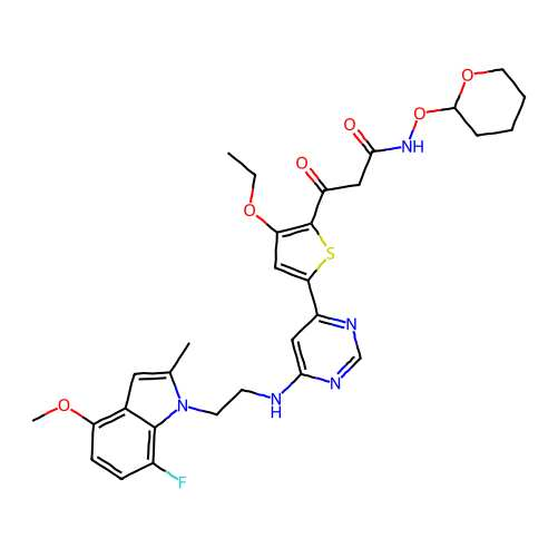 CCOc1cc(-c2cc(NCCn3c(C)cc4c(OC)ccc(F)c43)ncn2)sc1C(=O)CC(=O)NOC1CCCCO1